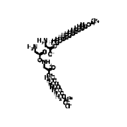 NCC(=O)[O-].NCC(=O)[O-].NCC(=O)[O-].O.O.O.O.O.O.O.O.O.O.O.O.O.O.O.O.O.O.[Al+3].[Al+3].[Cl-].[Cl-].[Cl-]